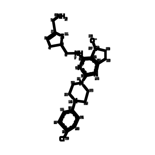 NCC1=CCC(CNc2nc(N3CCN(c4ccc(Cl)cc4)CC3)nc3c2[S+]([O-])CC3)S1